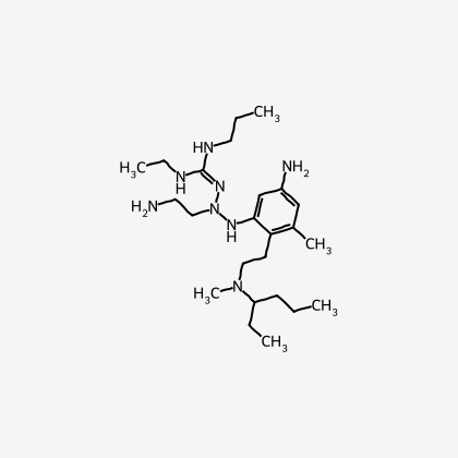 CCCN/C(=N/N(CCN)Nc1cc(N)cc(C)c1CCN(C)C(CC)CCC)NCC